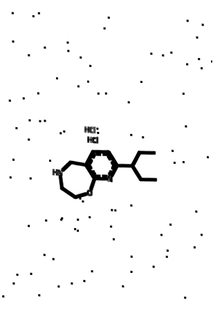 CCC(CC)c1ccc2c(n1)OCCNC2.Cl.Cl